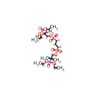 CCOP(=O)(OCC)C(C)(C)COS(=O)(=O)CCCS(=O)(=O)OCC(C)(C)P(=O)(OCC)OCC